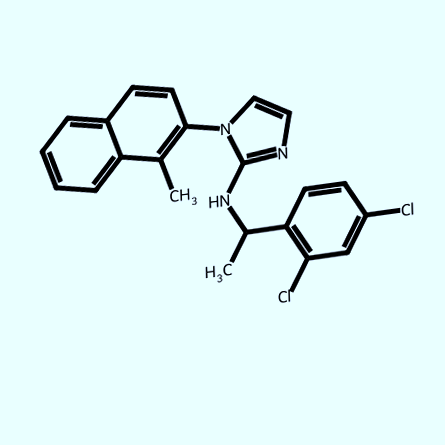 Cc1c(-n2ccnc2NC(C)c2ccc(Cl)cc2Cl)ccc2ccccc12